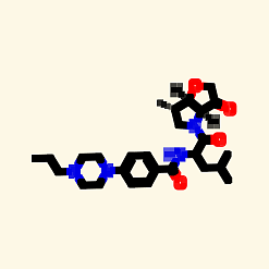 CCCN1CCN(c2ccc(C(=O)NC(CC(C)C)C(=O)N3C[C@H](C)[C@H]4OCC(=O)[C@H]43)cc2)CC1